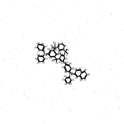 CC1(C)c2cccc3c2N2c4c1cc(-c1ccc(N(c5ccccc5)c5ccc6ccccc6c5)cc1)cc4C(C)(C)c1cc(N(c4ccccc4)c4ccccc4)cc(c12)C3(C)C